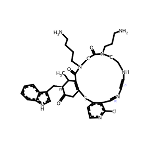 CC1C2=C(CC(=O)[C@H]1Cc1c[nH]c3ccccc13)Sc1ccnc(Cl)c1/C=N\C=C/NCCN(CCCN)C(=O)CN(CCCCN)C2=O